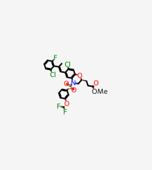 COC(=O)CC[C@H]1CN(S(=O)(=O)c2cccc(OC(F)F)c2)c2cc(/C=C(\C)c3c(F)cccc3Cl)c(Cl)cc2O1